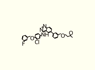 CC(=O)CCOCc1cccc(-c2ccc3ncnc(Nc4ccc(OCc5cccc(F)c5)c(Cl)c4)c3c2)c1